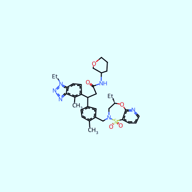 CC[C@@H]1CN(Cc2cc(C(CC(=O)NC3CCCOC3)c3ccc4c(nnn4CC)c3C)ccc2C)S(=O)(=O)c2cccnc2O1